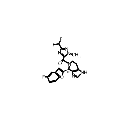 Cn1nc(C(F)F)nc1C(=O)N1CCc2[nH]cnc2[C@H]1c1cc2cc(F)ccc2o1